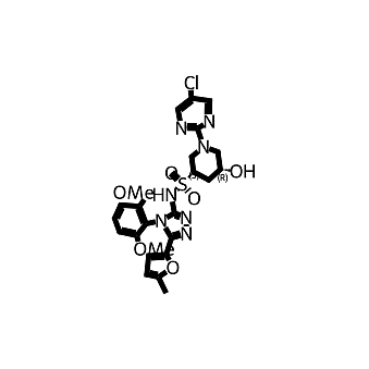 COc1cccc(OC)c1-n1c(NS(=O)(=O)[C@H]2C[C@@H](O)CN(c3ncc(Cl)cn3)C2)nnc1-c1ccc(C)o1